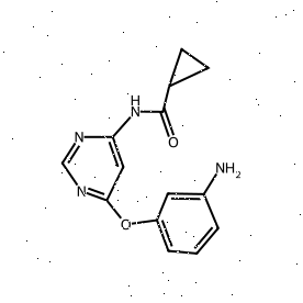 Nc1cccc(Oc2cc(NC(=O)C3CC3)ncn2)c1